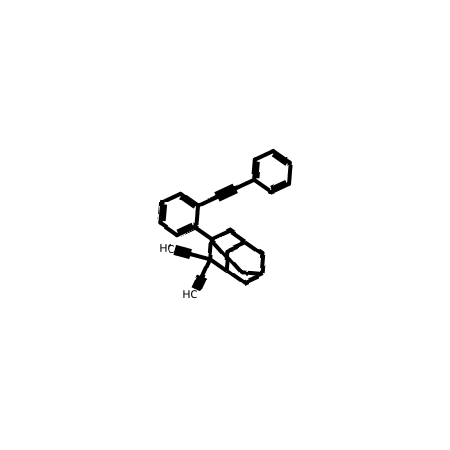 C#CC1(C#C)C2CC3CC(C2)CC1(c1ccccc1C#Cc1ccccc1)C3